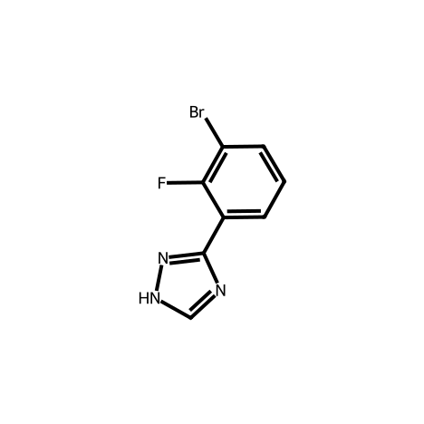 Fc1c(Br)cccc1-c1nc[nH]n1